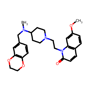 BN(Cc1ccc2c(c1)OCCO2)C1CCN(CCn2c(=O)ccc3ccc(OC)cc32)CC1